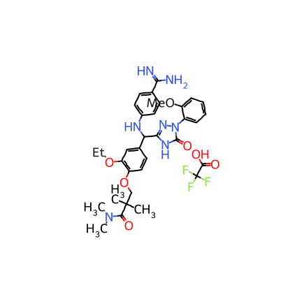 CCOc1cc(C(Nc2ccc(C(=N)N)cc2)c2nn(-c3ccccc3OC)c(=O)[nH]2)ccc1OCC(C)(C)C(=O)N(C)C.O=C(O)C(F)(F)F